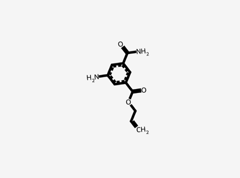 C=CCOC(=O)c1cc(N)cc(C(N)=O)c1